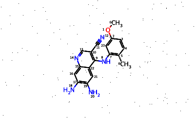 COc1ccc(C)c(Nc2c(C#N)cnc3cc(N)c(N)cc23)c1